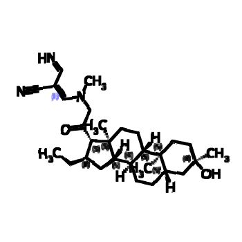 CC[C@@H]1C[C@H]2[C@@H]3CC[C@H]4C[C@](C)(O)CC[C@]4(C)[C@H]3CC[C@]2(C)[C@H]1C(=O)CN(C)/C=C(/C#N)C=N